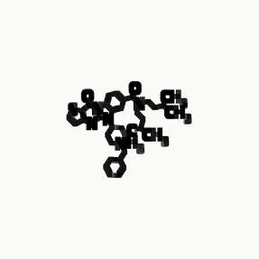 CC(C)CCN(CCC(C)C)C(=O)c1ccc2c(c1)n(C1CCN(Cc3ccccc3)CC1)c1nc3ccsc3c(=O)n21